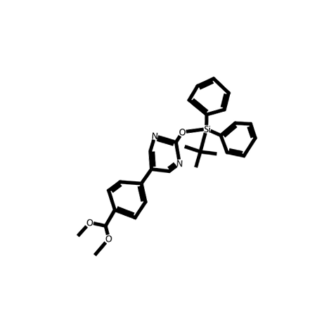 COC(OC)c1ccc(-c2cnc(O[Si](c3ccccc3)(c3ccccc3)C(C)(C)C)nc2)cc1